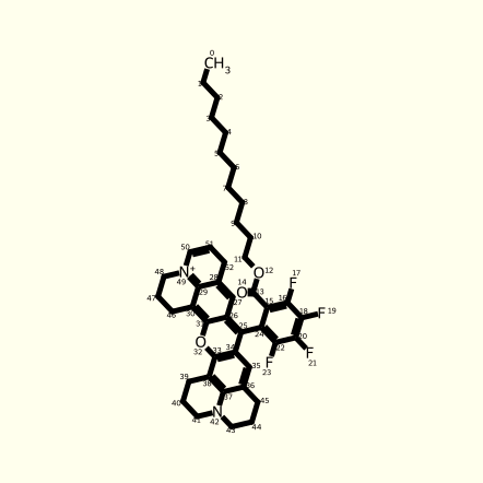 CCCCCCCCCCCCOC(=O)c1c(F)c(F)c(F)c(F)c1C1=c2cc3c4c(c2Oc2c1cc1c5c2CCCN5CCC1)CCC[N+]=4C=CC3